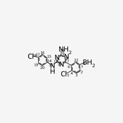 Bc1ccc(Cl)c(-c2nc(N)nc(Nc3ccc(Cl)cc3)n2)c1